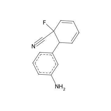 N#CC1(F)C=CC=CC1c1cccc(N)c1